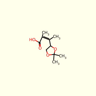 CC(C(=O)O)=C(C)C1COC(C)(C)O1